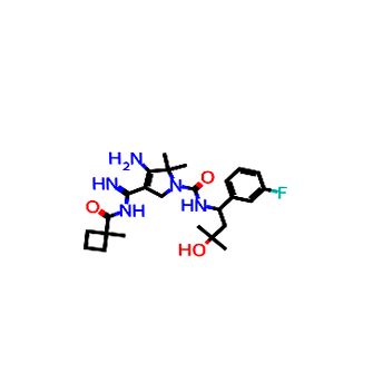 CC(C)(O)CC(NC(=O)N1CC(C(=N)NC(=O)C2(C)CCC2)=C(N)C1(C)C)c1cccc(F)c1